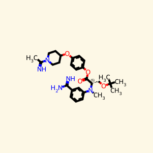 CC(=N)N1CCC(Oc2ccc(OC(=O)[C@H](COC(C)(C)C)N(C)c3cccc(C(=N)N)c3)cc2)CC1